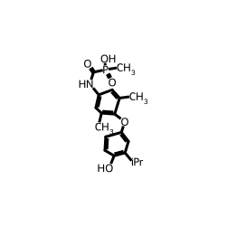 Cc1cc(NC(=O)P(C)(=O)O)cc(C)c1Oc1ccc(O)c(C(C)C)c1